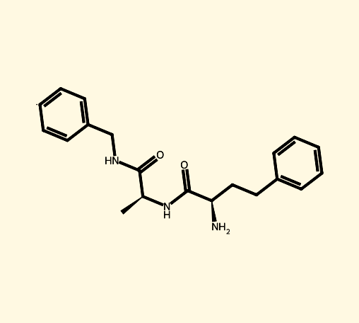 C[C@H](NC(=O)[C@H](N)CCc1ccccc1)C(=O)NCc1cc[c]cc1